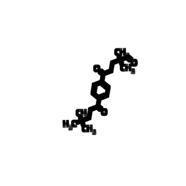 CC(C)(C)CCC(=O)c1ccc(C(=O)CCC(C)(C)C=O)cc1